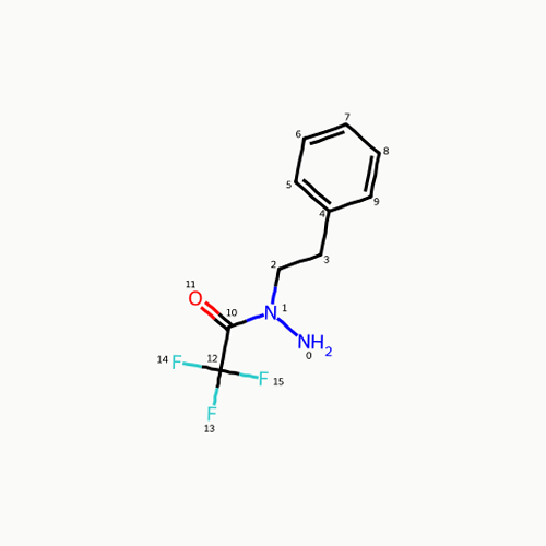 NN(CCc1ccccc1)C(=O)C(F)(F)F